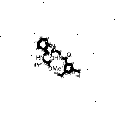 COC(=O)[C@@H](Nc1nc(CNC(=O)c2cc(CI)cc(CI)c2)nc2ccccc12)C(C)C